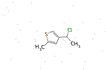 Cc1cc(C(C)Cl)cs1